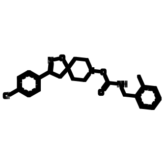 Cc1ccccc1CNC(=O)ON1CCC2(CC1)CC(c1ccc(Cl)cc1)=NO2